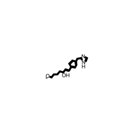 COCCCCC(O)C=Cc1ccc(Cc2ncc[nH]2)cc1